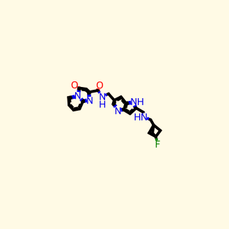 O=C(NCc1cnc2cc(CNCC34CC(F)(C3)C4)[nH]c2c1)c1cc(=O)n2ccccc2n1